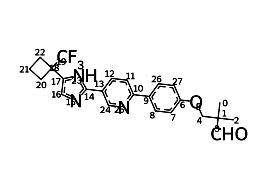 CC(C)(C=O)COc1ccc(-c2ccc(-c3ncc(C4(C(F)(F)F)CCC4)[nH]3)cn2)cc1